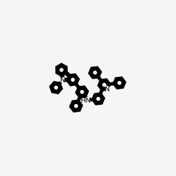 c1ccc(-c2cc(-c3ccccc3)nc(-c3cccc(Nc4ccc(-c5ccc6c7ccccc7n(-c7ccccc7)c6c5)cc4-c4ccccc4)c3)c2)cc1